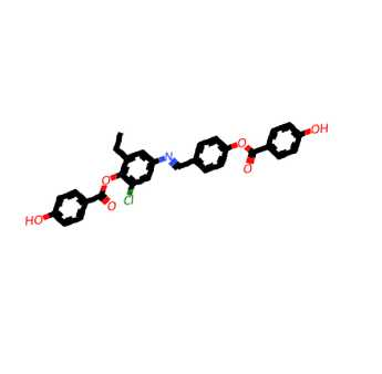 CCc1cc(/N=C/c2ccc(OC(=O)c3ccc(O)cc3)cc2)cc(Cl)c1OC(=O)c1ccc(O)cc1